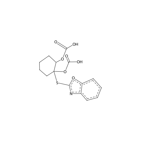 O=C(O)OC1CCCCC1(OC(=O)O)Sc1nc2ccccc2o1